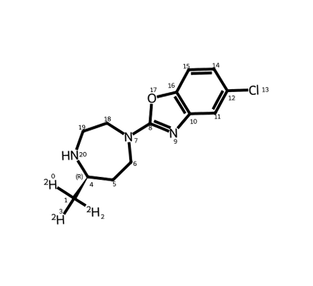 [2H]C([2H])([2H])[C@@H]1CCN(c2nc3cc(Cl)ccc3o2)CCN1